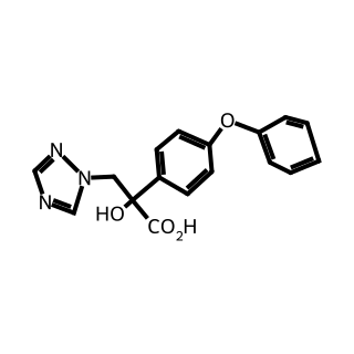 O=C(O)C(O)(Cn1cncn1)c1ccc(Oc2ccccc2)cc1